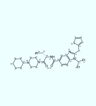 CCC(CC)n1c(Cc2cccs2)nc2cc(C(=O)N[C@@H](CC(C)C)C(=O)N3CCN(C4CCCCC4)CC3)ccc21